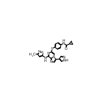 Cc1cc(Nc2nc(Sc3ccc(NC(=O)C4CC4)cc3)cn3c(-c4cn[nH]c4)cnc23)sn1